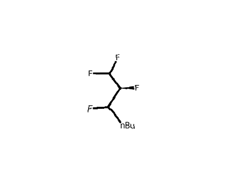 [CH2]CCCC(F)[C@H](F)C(F)F